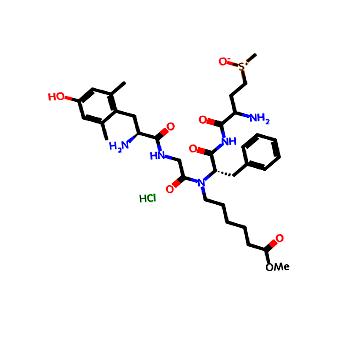 COC(=O)CCCCCN(C(=O)CNC(=O)[C@@H](N)Cc1c(C)cc(O)cc1C)[C@@H](Cc1ccccc1)C(=O)NC(=O)C(N)CC[S+](C)[O-].Cl